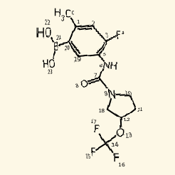 Cc1cc(F)c(NC(=O)N2CCC(OC(F)(F)F)C2)cc1B(O)O